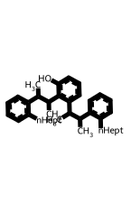 CCCCCCCc1ccccc1C(C)C(C)c1cccc(O)c1C(C)C(C)c1ccccc1CCCCCCC